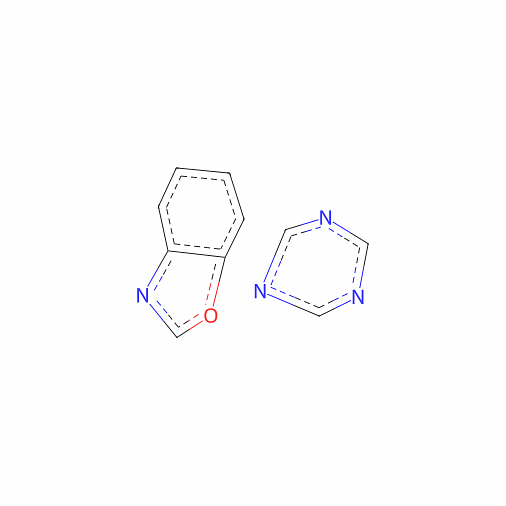 c1ccc2ocnc2c1.c1ncncn1